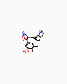 COc1cc(-c2oncc2-c2ccc3cccnc3c2)cc(C)c1C